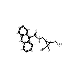 O=C(NCC1C(CO)C1(F)F)c1c2ccccc2cc2ccccc12